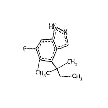 CCC(C)(C)c1c(Cl)c(F)cc2[nH]ncc12